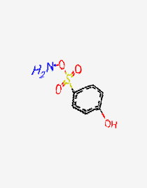 NOS(=O)(=O)c1ccc(O)cc1